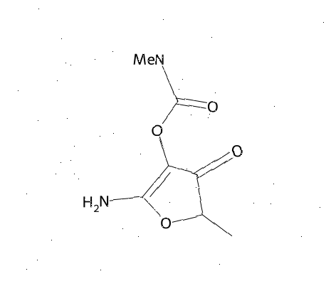 CNC(=O)OC1=C(N)OC(C)C1=O